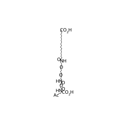 CC(=O)CC[C@H](NC(=O)COCC(=O)NCCCOCCCCOCCCNC(=O)CCCCCCCCCCCCCCCCCCC(=O)O)C(=O)O